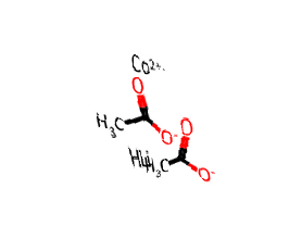 CC(=O)[O-].CC(=O)[O-].[Co+2].[LiH]